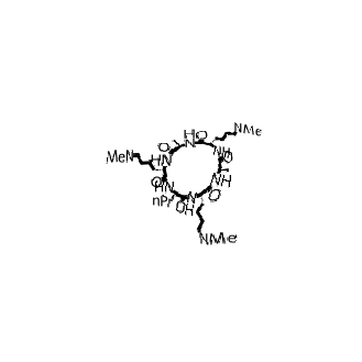 CCC[C@H]1NC(=O)[C@H](CCCCNC)NC(=O)[C@@H](C)NC(=O)[C@H](CCCCNC)NC(=O)[C@@H](C)NC(=O)[C@H](CCCCNC)NC1=O